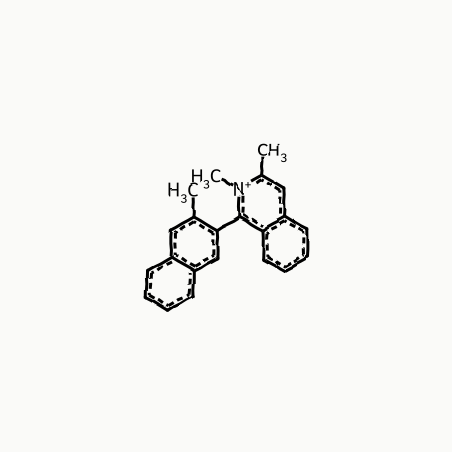 Cc1cc2ccccc2cc1-c1c2ccccc2cc(C)[n+]1C